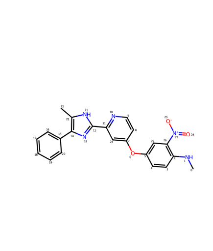 CNc1ccc(Oc2ccnc(-c3nc(-c4ccccc4)c(C)[nH]3)c2)cc1[N+](=O)[O-]